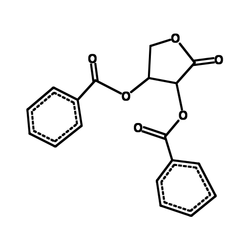 O=C(OC1COC(=O)C1OC(=O)c1ccccc1)c1ccccc1